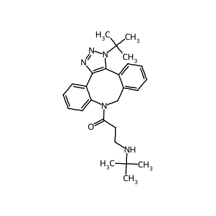 CC(C)(C)NCCC(=O)N1Cc2ccccc2-c2c(nnn2C(C)(C)C)-c2ccccc21